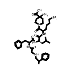 CC(C)C[C@@H](NC(=O)C(Cc1ccccc1)NC(=O)CNCC(C)c1ccccc1)C(=O)NC(CCCCN)C(=O)N1CCC(N)(C(=O)O)CC1